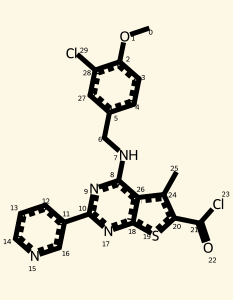 COc1ccc(CNc2nc(-c3cccnc3)nc3sc(C(=O)Cl)c(C)c23)cc1Cl